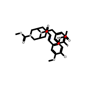 COC(=O)N1CC2CN(Cc3ccc(F)cc3)CC(C1)N2C(=O)/C=C/c1cc(OC)c(Cl)cc1NC(C)=O